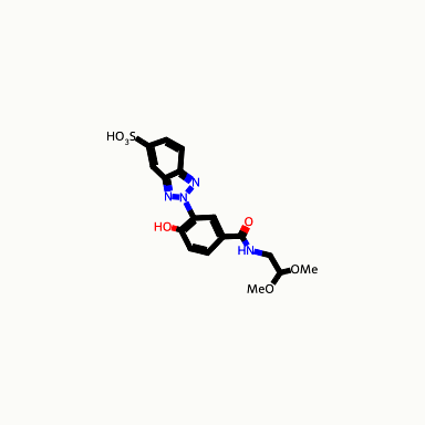 COC(CNC(=O)c1ccc(O)c(-n2nc3ccc(S(=O)(=O)O)cc3n2)c1)OC